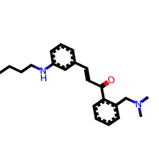 CCCCNc1cccc(C=CC(=O)c2ccccc2CN(C)C)c1